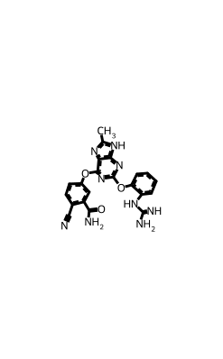 Cc1nc2c(Oc3ccc(C#N)c(C(N)=O)c3)nc(Oc3ccccc3NC(=N)N)nc2[nH]1